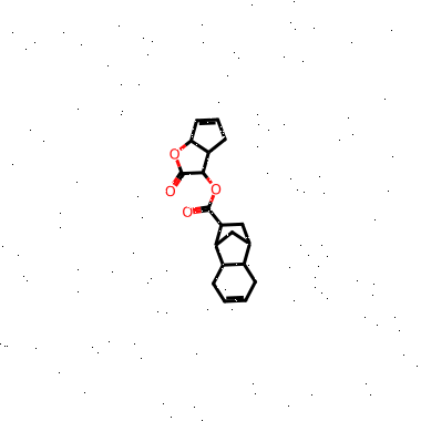 O=C(OC1C(=O)OC2C=CCC21)C1CC2CC1C1CC=CCC21